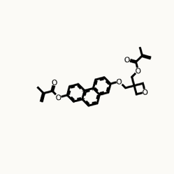 C=C(C)C(=O)OCC1(COc2ccc3c(ccc4cc(OC(=O)C(=C)C)ccc43)c2)COC1